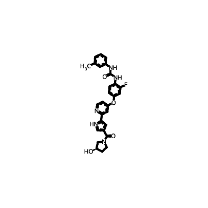 Cc1cccc(NC(=O)Nc2ccc(Oc3ccnc(-c4cc(C(=O)N5CC[C@@H](O)C5)c[nH]4)c3)cc2F)c1